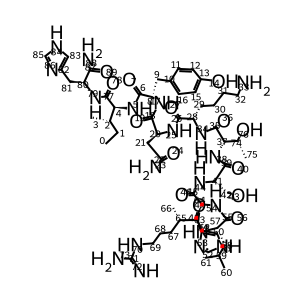 CC[C@H](C)[C@H](NC(=O)[C@H](Cc1ccc(O)cc1)NC(=O)[C@H](CC(N)=O)NC(=O)[C@H](CCCCN)NC(=O)[C@@H](NC(=O)[C@H](CO)NC(=O)[C@H](Cc1c[nH]cn1)NC(=O)[C@H](CC(C)C)NC(=O)[C@@H](C)CCCNC(=N)N)[C@@H](C)O)C(=O)N[C@@H](Cc1c[nH]cn1)C(N)=O